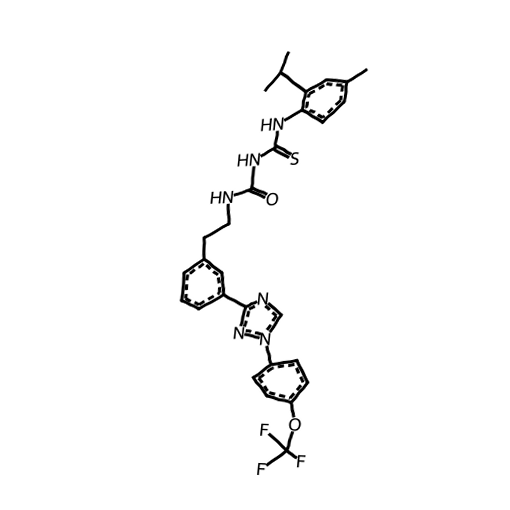 Cc1ccc(NC(=S)NC(=O)NCCc2cccc(-c3ncn(-c4ccc(OC(F)(F)F)cc4)n3)c2)c(C(C)C)c1